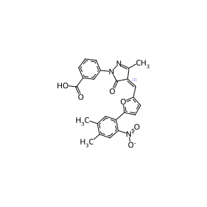 CC1=NN(c2cccc(C(=O)O)c2)C(=O)/C1=C\c1ccc(-c2cc(C)c(C)cc2[N+](=O)[O-])o1